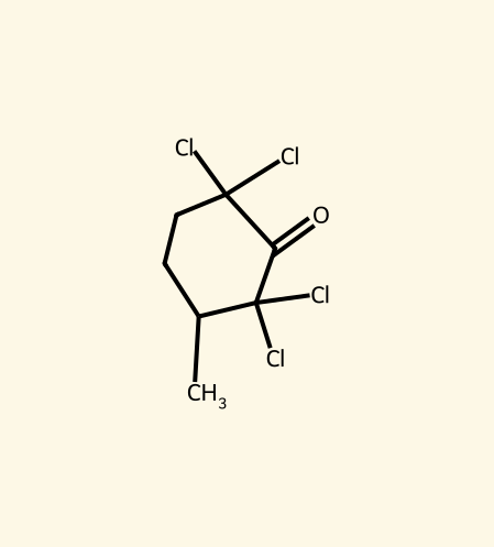 CC1CCC(Cl)(Cl)C(=O)C1(Cl)Cl